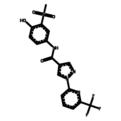 CS(=O)(=O)c1cc(NC(=O)c2cnn(-c3cccc(C(F)(F)F)n3)c2)ccc1O